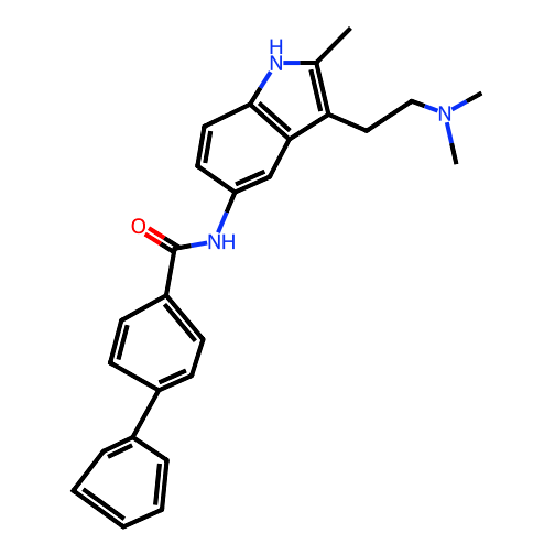 Cc1[nH]c2ccc(NC(=O)c3ccc(-c4ccccc4)cc3)cc2c1CCN(C)C